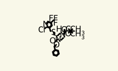 CC(C)(C)OC(=O)N1CCN(C(=O)OCc2ccccc2)[C@@H](CSCc2cc(C(F)(F)F)cnc2Cl)C1